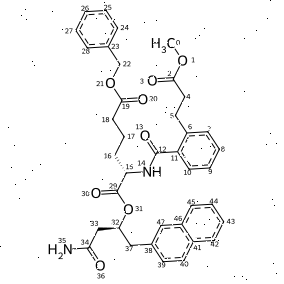 COC(=O)CCc1ccccc1C(=O)N[C@@H](CCCC(=O)OCc1ccccc1)C(=O)O[C@H](CC(N)=O)Cc1ccc2ccccc2c1